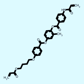 C=CC(=O)Nc1ccc(C(=O)Oc2ccc(OC(=O)c3ccc(OCCCCOC(=O)C=C)cc3)cc2C)cc1